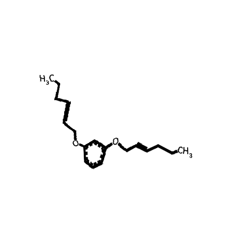 CCC/C=C/COc1cccc(OC/C=C/CCC)c1